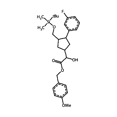 COc1ccc(COC(=O)C(O)C2CC(CO[Si](C)(C)C(C)(C)C)C(c3cccc(F)c3)C2)cc1